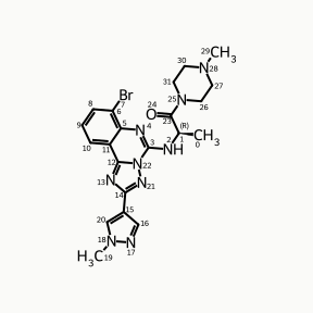 C[C@@H](Nc1nc2c(Br)cccc2c2nc(-c3cnn(C)c3)nn12)C(=O)N1CCN(C)CC1